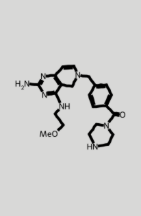 COCCNc1nc(N)nc2c1CN(Cc1ccc(C(=O)N3CCNCC3)cc1)C=C2